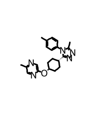 Cc1ccc(-n2c(C)nnc2[C@H]2CC[C@H](Oc3cnc(C)cn3)CC2)cc1